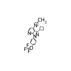 C=C1CN(c2ccnc3c2c(C2CCC2)nn3-c2ccc(OC(F)(F)F)cc2)C1